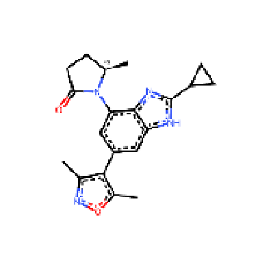 Cc1noc(C)c1-c1cc(N2C(=O)CC[C@H]2C)c2nc(C3CC3)[nH]c2c1